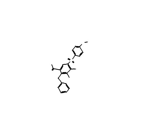 COc1ccc(S(=O)(=O)c2cc(C(=O)O)c(Cc3ccccc3)c(Cl)c2N)cc1